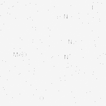 COc1cc2nc(I)cn2nc1C1COC1